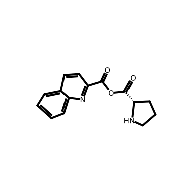 O=C(OC(=O)[C@@H]1CCCN1)c1ccc2ccccc2n1